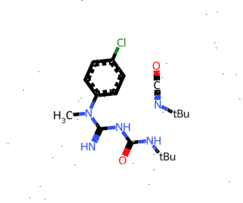 CC(C)(C)N=C=O.CN(C(=N)NC(=O)NC(C)(C)C)c1ccc(Cl)cc1